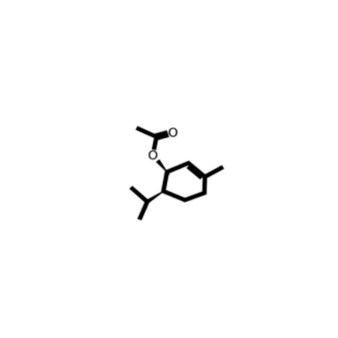 CC(=O)O[C@H]1C=C(C)CC[C@H]1C(C)C